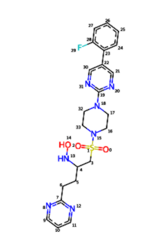 O=S(=O)(CC(CCc1ncccn1)NO)N1CCN(c2ncc(-c3ccccc3F)cn2)CC1